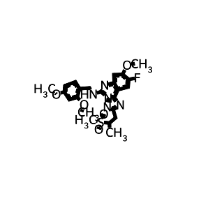 COc1ccc(CNc2nc3cc(OC)c(F)cc3c3nc(CC(C)S(C)(=O)=O)nn23)c(OC)c1